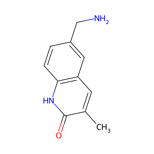 Cc1cc2cc(CN)ccc2[nH]c1=O